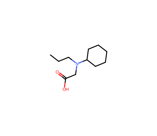 CCCN(CC(=O)O)C1CCCCC1